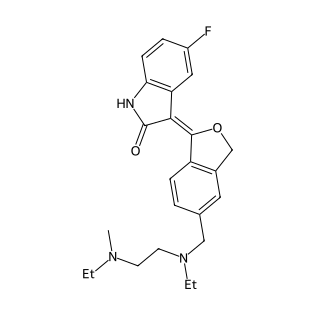 CCN(C)CCN(CC)Cc1ccc2c(c1)COC2=C1C(=O)Nc2ccc(F)cc21